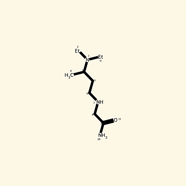 CCN(CC)C(C)CCNCC(N)=O